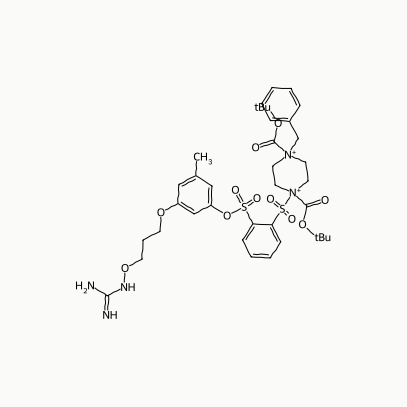 Cc1cc(OCCCONC(=N)N)cc(OS(=O)(=O)c2ccccc2S(=O)(=O)[N+]2(C(=O)OC(C)(C)C)CC[N+](Cc3ccccc3)(C(=O)OC(C)(C)C)CC2)c1